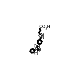 O=C(O)CCCc1nc(-c2ccc(NC(=O)Nc3ccccc3Cl)cc2)no1